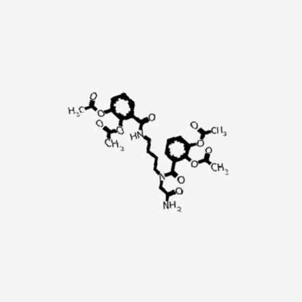 CC(=O)Oc1cccc(C(=O)NCCCCN(CC(N)=O)C(=O)c2cccc(OC(C)=O)c2OC(C)=O)c1OC(C)=O